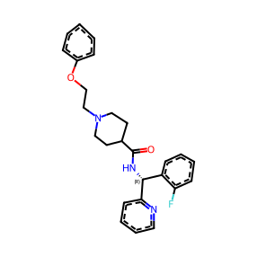 O=C(N[C@@H](c1ccccn1)c1ccccc1F)C1CCN(CCOc2ccccc2)CC1